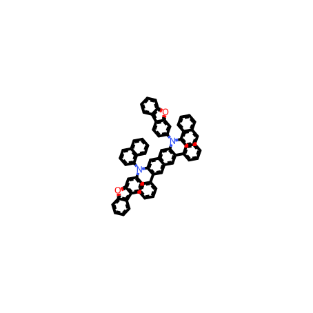 c1ccc(-c2cc3cc(-c4ccccc4)c(N(c4ccc5c(c4)oc4ccccc45)c4cccc5ccccc45)cc3cc2N(c2ccc3c(c2)oc2ccccc23)c2cccc3ccccc23)cc1